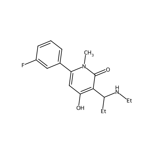 CCNC(CC)c1c(O)cc(-c2cccc(F)c2)n(C)c1=O